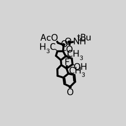 CC(=O)OCC(=O)[C@]1(OC(=O)NC(C)(C)C)[C@@H](C)CC2C3CCC4=CC(=O)C=C[C@]4(C)C3(F)[C@@H](O)C[C@@]21C